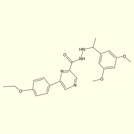 CCOc1ccc(-c2cncc(C(=O)NNC(C)c3cc(OC)cc(OC)c3)n2)cc1